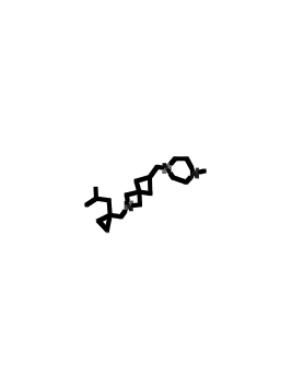 CC(C)CC1(CN2CC3(CC(CN4CCN(C)CC4)C3)C2)CC1